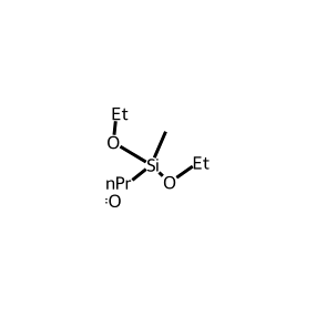 CCC[Si](C)(OCC)OCC.[O]